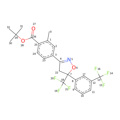 Cc1cc(C2=NOC(c3cccc(C(F)(F)F)c3)(C(F)(F)F)C2)ccc1C(=O)OC(C)(C)C